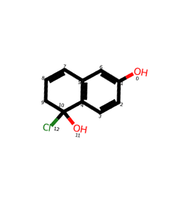 Oc1ccc2c(c1)C=CCC2(O)Cl